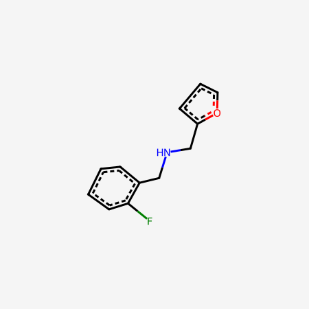 Fc1ccccc1CNCc1ccco1